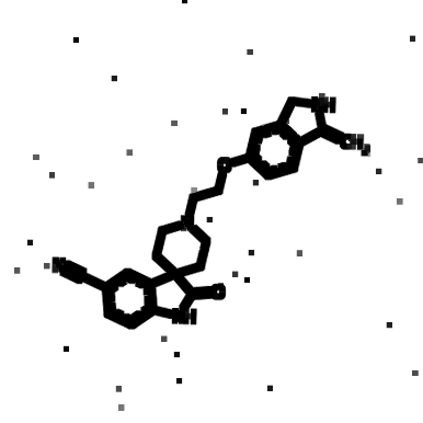 C=C1NCc2cc(OCCN3CCC4(CC3)C(=O)Nc3ccc(C#N)cc34)ccc21